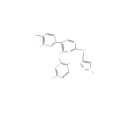 Cn1cc(Nc2ncc(-c3ccc(Br)c(F)c3)c(Nc3cc(N)ccc3F)n2)cn1